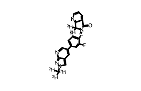 [2H]C1([2H])c2ncccc2C(=O)N1Cc1c(F)cc(-c2cnc3nn(C([2H])([2H])[2H])cc3c2)cc1F